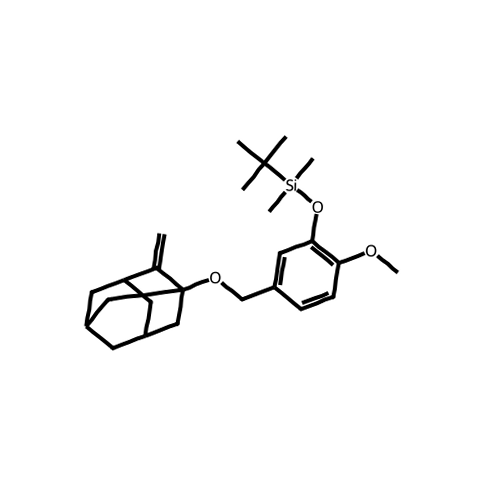 C=C1C2CC3CC(C2)CC1(OCc1ccc(OC)c(O[Si](C)(C)C(C)(C)C)c1)C3